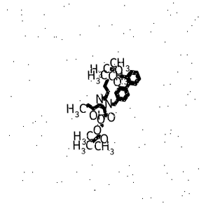 CCCCc1nc(C(O)CC)c(C(=O)OCOC(=O)C(C)(C)C)n1Cc1ccc(-c2ccccc2C(=O)OC(C)(C)C)cc1